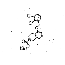 CC(C)(C)OC(=O)N1CCc2c(cccc2OCc2cccc(Cl)c2Cl)C1